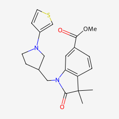 COC(=O)c1ccc2c(c1)N(CC1CCN(c3ccsc3)C1)C(=O)C2(C)C